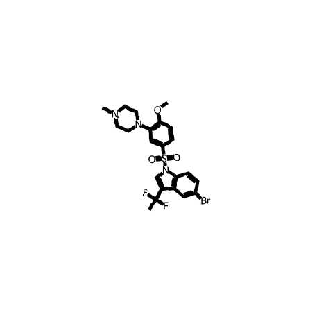 COc1ccc(S(=O)(=O)n2cc(C(C)(F)F)c3cc(Br)ccc32)cc1N1CCN(C)CC1